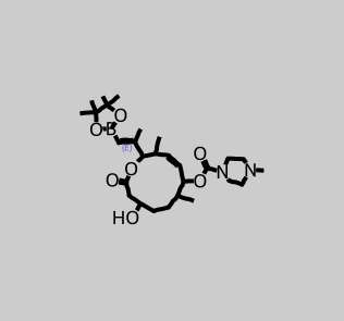 C/C(=C\B1OC(C)(C)C(C)(C)O1)C1OC(=O)CC(O)CCC(C)C(OC(=O)N2CCN(C)CC2)C=CC1C